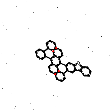 c1ccc(-c2ccccc2-c2c3ccccc3c(-c3cc4oc5ccccc5c4cc3-c3ccccc3)c3ccccc23)cc1